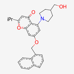 CC(C)c1cc(=O)c2c(N3CCC(CO)CC3)cc(OCc3cccc4ccccc34)cc2o1